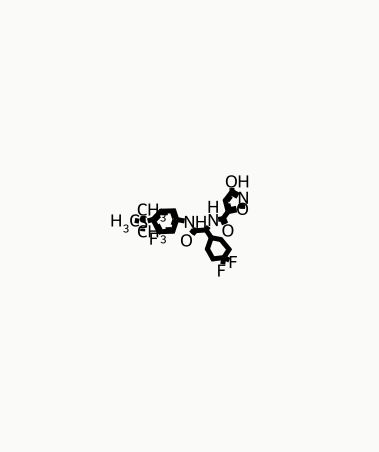 CS(C)(C)c1ccc(NC(=O)C(NC(=O)c2cc(O)no2)C2CCC(F)(F)CC2)cc1F